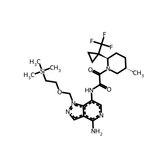 C[C@H]1CC[C@H](C2(C(F)(F)F)CC2)N(C(=O)C(=O)Nc2cnc(N)c3cnn(COCC[Si](C)(C)C)c23)C1